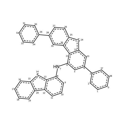 c1ccc(-c2cc(Nc3cccc4c3sc3ccccc34)c3c(c2)sc2ccc(-c4ccccc4)cc23)cc1